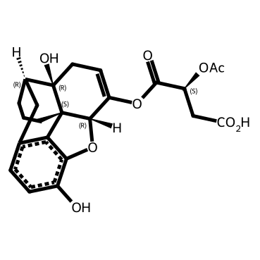 CC(=O)O[C@@H](CC(=O)O)C(=O)OC1=CC[C@@]2(O)[C@@H]3CCC[C@@]24c2c(ccc(O)c2O[C@@H]14)C3